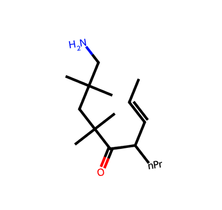 CC=CC(CCC)C(=O)C(C)(C)CC(C)(C)CN